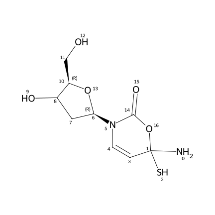 NC1(S)C=CN([C@H]2CC(O)[C@@H](CO)O2)C(=O)O1